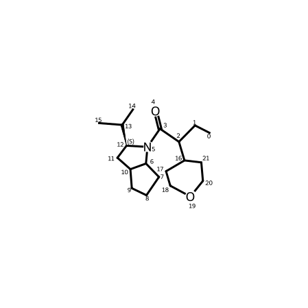 CCC(C(=O)N1C2CCCC2C[C@H]1C(C)C)C1CCOCC1